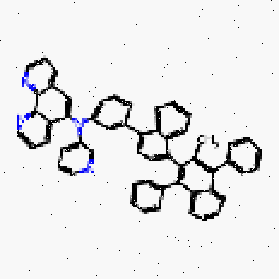 Cc1c(-c2ccc(-c3cccc(N(c4cccnc4)c4cc5cccnc5c5ncccc45)c3)c3ccccc23)c(-c2ccccc2)c2ccccc2c1-c1ccccc1